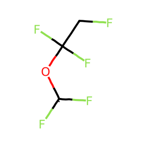 FCC(F)(F)O[C](F)F